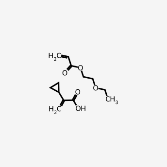 C=C(C(=O)O)C1CC1.C=CC(=O)OCCOCC